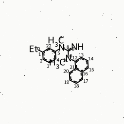 CCc1cccc(N(C)C(=N)N(C)c2cccc3ccccc23)c1